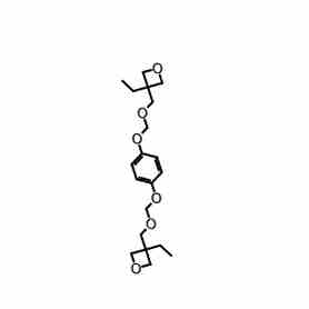 CCC1(COCOc2ccc(OCOCC3(CC)COC3)cc2)COC1